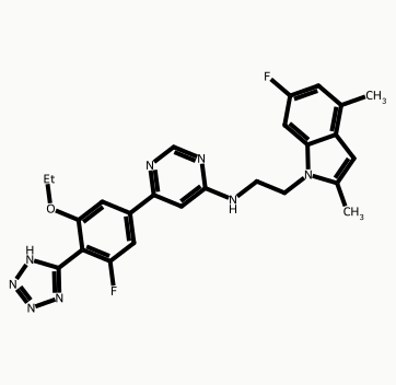 CCOc1cc(-c2cc(NCCn3c(C)cc4c(C)cc(F)cc43)ncn2)cc(F)c1-c1nnn[nH]1